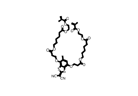 C=C(C)C(=O)OCCOC(=O)CCCCCOC(=O)CCOc1cc(C)c(OCCC(=O)OCCCCCC(=O)OCCOC(=O)C(=C)C)c2c1SC(=C(C#N)C#N)S2